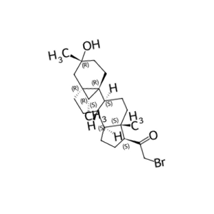 C[C@@H]1[C@]23CC[C@H]4[C@@H]5CC[C@H](C(=O)CBr)[C@@]5(C)CC[C@@H]4[C@]12CC[C@@](C)(O)C3